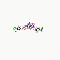 O=C(COc1ccc(Cl)c(F)c1)NC12CCC(NC(=O)COc3ccc(C(F)F)cc3)(CC1)[C@@H](O)C2